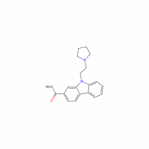 COC(=O)c1ccc2c3ccccc3n(CCN3CCCC3)c2c1